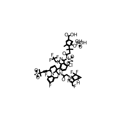 Cc1cc(C(=O)O)cc(OP(=O)(O)O)c1C(C)(C)CC(=O)N(c1nn(CC(F)(F)F)c2c(-c3ccc(C#CC(C)(C)S(C)(=O)=O)nc3[C@H](Cc3cc(F)cc(F)c3)NC(=O)Cn3nc(CF)c4c3C(F)(F)C3C[C@H]43)ccc(Cl)c12)S(C)(=O)=O